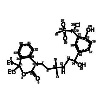 CCC1(CC)OC(=O)N(CCC(C)(C)NC[C@H](O)c2ccc(O)c(N(Cl)S(C)(=O)=O)c2)c2ccccc21